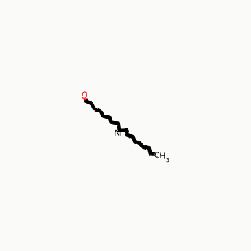 CCCCCCCCCCCCCCCCCC=O.[Ni]